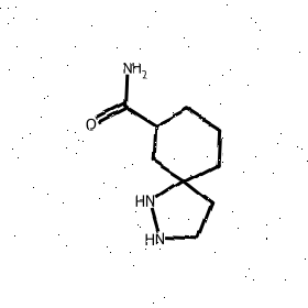 NC(=O)C1CCCC2(CCNN2)C1